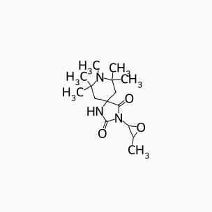 CC1OC1N1C(=O)NC2(CC(C)(C)N(C)C(C)(C)C2)C1=O